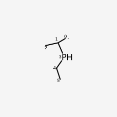 [CH2]C(C)PCC